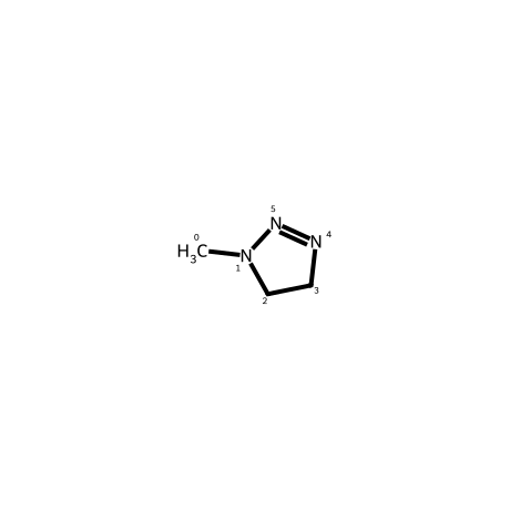 CN1CCN=N1